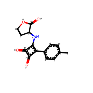 Cc1ccc(-c2c(NC3CCOC3=O)c(=O)c2=O)cc1